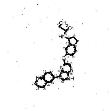 C=CC(=O)NC1CCc2ccc(Oc3cnc4[nH]cc(-c5ccc6ncccc6c5)c4n3)cc21